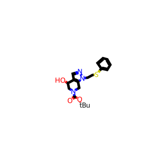 CC(C)(C)OC(=O)N1Cc2c(cnn2CCSc2ccccc2)C(O)C1